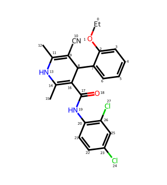 CCOc1ccccc1C1C(C#N)=C(C)NC(C)=C1C(=O)Nc1ccc(Cl)cc1Cl